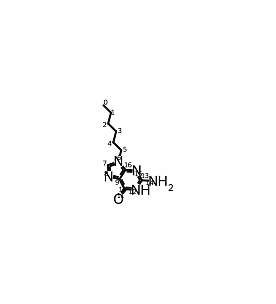 CCCCCCn1cnc2c(=O)[nH]c(N)nc21